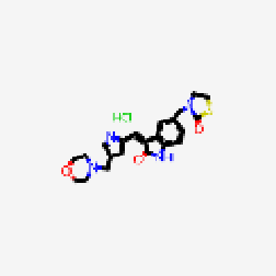 Cl.O=C1Nc2ccc(CN3CCSC3=O)cc2C1=CC1=CC(CN2CCOCC2)C=N1